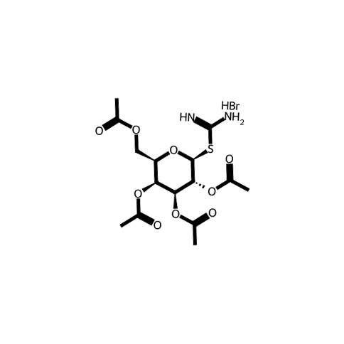 Br.CC(=O)OC[C@H]1O[C@@H](SC(=N)N)[C@H](OC(C)=O)[C@@H](OC(C)=O)[C@H]1OC(C)=O